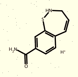 NC(=O)c1ccc2c(c1)SNCC=C2.[H+]